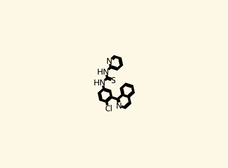 S=C(Nc1ccc(Cl)c(-c2nccc3ccccc23)c1)Nc1ccccn1